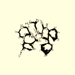 NC(=O)N(NC(=O)c1ncc(F)cc1N1CCOCC1)[C@@H]1N=C(c2ccccc2)c2ccccc2NC1=O